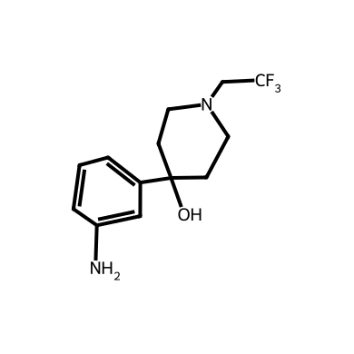 Nc1cccc(C2(O)CCN(CC(F)(F)F)CC2)c1